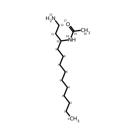 CCCCCCCCCCC(CCN)NC(C)=O